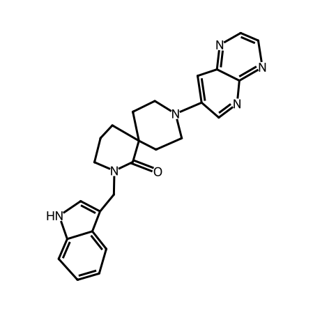 O=C1N(Cc2c[nH]c3ccccc23)CCCC12CCN(c1cnc3nccnc3c1)CC2